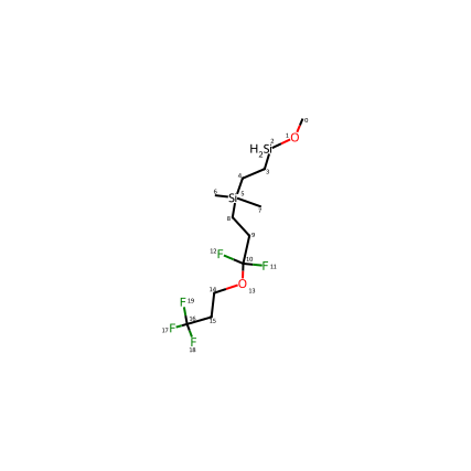 CO[SiH2]CC[Si](C)(C)CCC(F)(F)OCCC(F)(F)F